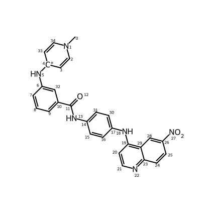 Cn1cc[c+](Nc2cccc(C(=O)Nc3ccc(Nc4ccnc5ccc([N+](=O)[O-])cc45)cc3)c2)cc1